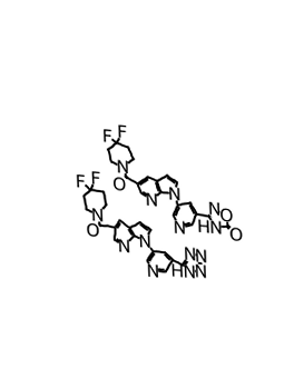 O=C(c1cnc2c(ccn2-c2cncc(-c3nnn[nH]3)c2)c1)N1CCC(F)(F)CC1.O=C(c1cnc2c(ccn2-c2cncc(-c3noc(=O)[nH]3)c2)c1)N1CCC(F)(F)CC1